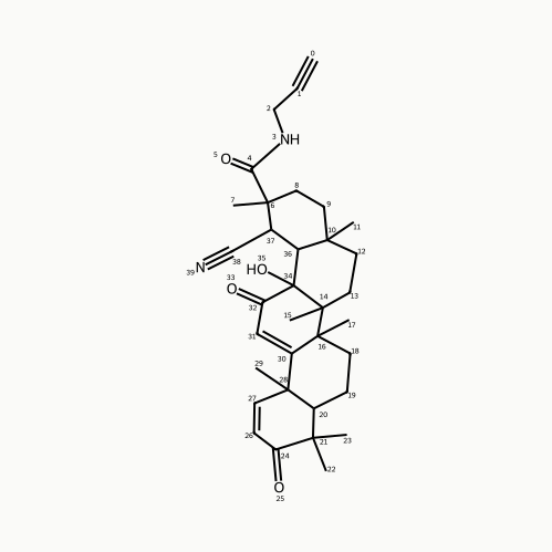 C#CCNC(=O)C1(C)CCC2(C)CCC3(C)C4(C)CCC5C(C)(C)C(=O)C=CC5(C)C4=CC(=O)C3(O)C2C1C#N